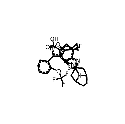 O=C(O)c1cc(F)c2nc(N3C4CCC3CC(NCc3c(-c5ccccc5OC(F)(F)F)noc3C3CC3)C4)sc2c1